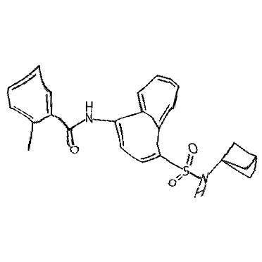 Cc1ccccc1C(=O)Nc1ccc(S(=O)(=O)NC23CC(C2)C3)c2ccccc12